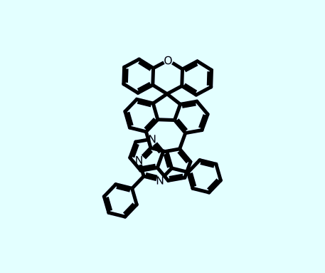 c1ccc(-c2cc(-c3cccc4c3-c3c(-c5cccc6cccnc56)cccc3C43c4ccccc4Oc4ccccc43)nc(-c3ccccc3)n2)cc1